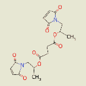 CC(CN1C(=O)C=CC1=O)OC(=O)CCC(=O)OC(C)CN1C(=O)C=CC1=O